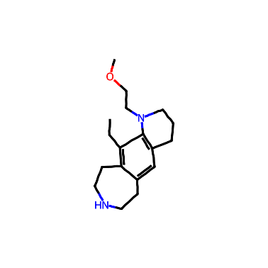 CCc1c2c(cc3c1N(CCOC)CCC3)CCNCC2